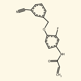 C=CC(=O)Nc1ccc(OCc2cccc(C#N)c2)c(F)c1